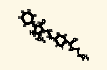 C=CCOC(=O)c1ccc(/N=N/c2c(C)[nH]n(-c3ccccc3)c2=O)cc1